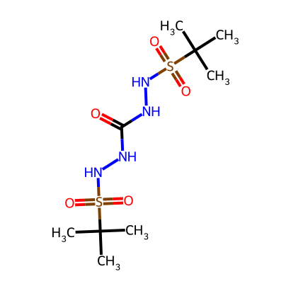 CC(C)(C)S(=O)(=O)NNC(=O)NNS(=O)(=O)C(C)(C)C